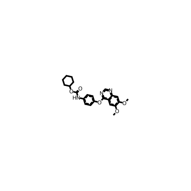 COc1cc2ncnc(Oc3ccc(NC(=O)OC4CCCCC4)cc3)c2cc1OC